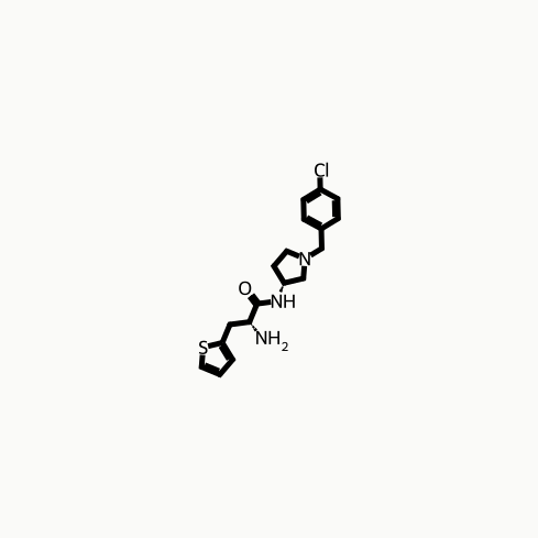 N[C@H](Cc1cccs1)C(=O)N[C@@H]1CCN(Cc2ccc(Cl)cc2)C1